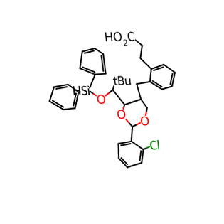 CC(C)(C)C(O[SiH](c1ccccc1)c1ccccc1)C1OC(c2ccccc2Cl)OCC1Cc1ccccc1CCC(=O)O